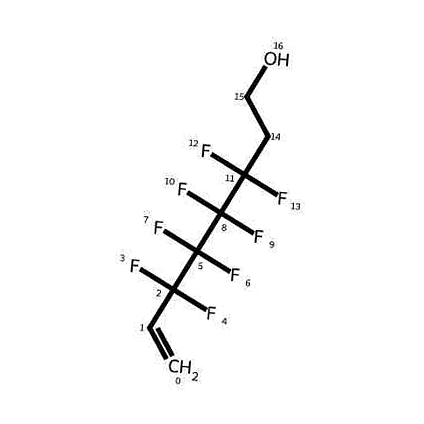 C=CC(F)(F)C(F)(F)C(F)(F)C(F)(F)CCO